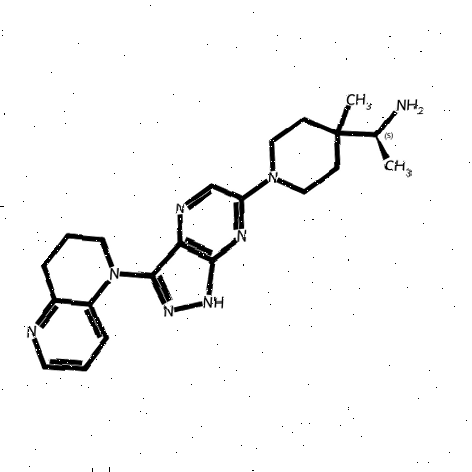 C[C@H](N)C1(C)CCN(c2cnc3c(N4CCCc5ncccc54)n[nH]c3n2)CC1